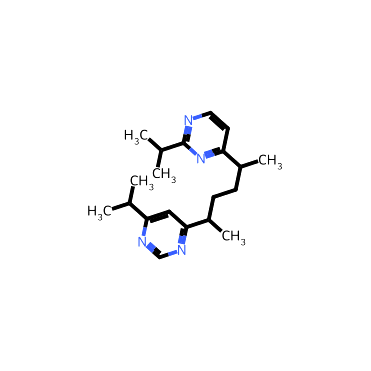 CC(C)c1cc(C(C)CCC(C)c2ccnc(C(C)C)n2)ncn1